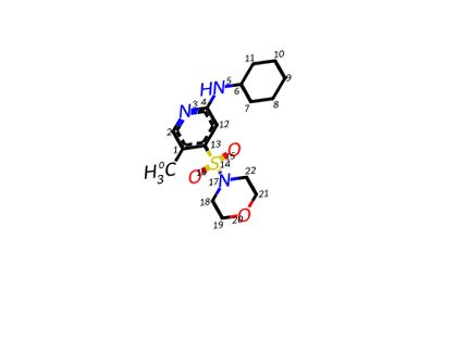 Cc1cnc(NC2CCCCC2)cc1S(=O)(=O)N1CCOCC1